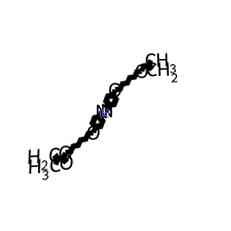 C=C(C)COCCCCCCOc1ccc(/N=N/c2ccc(OCCCCCCOC(=O)C(=C)C)cc2)cc1